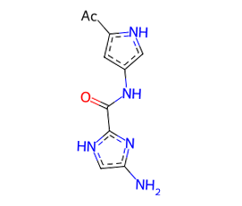 CC(=O)c1cc(NC(=O)c2nc(N)c[nH]2)c[nH]1